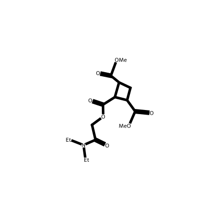 CCN(CC)C(=O)COC(=O)C1C(C(=O)OC)CC1C(=O)OC